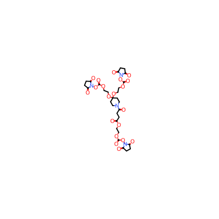 O=C(CCC(=O)N1CCC(OCCOC(=O)ON2C(=O)CCC2=O)(OCCOC(=O)ON2C(=O)CCC2=O)CC1)OCCOC(=O)ON1C(=O)CCC1=O